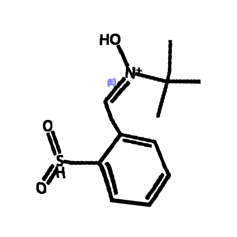 CC(C)(C)/[N+](O)=C\c1ccccc1[SH](=O)=O